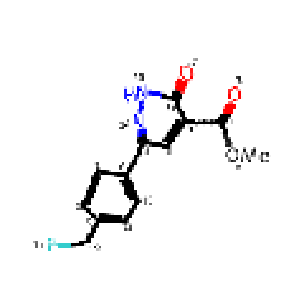 COC(=O)c1cc(-c2ccc(CF)cc2)n[nH]c1=O